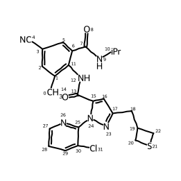 Cc1cc(C#N)cc(C(=O)NC(C)C)c1NC(=O)c1cc(CC2CSC2)nn1-c1ncccc1Cl